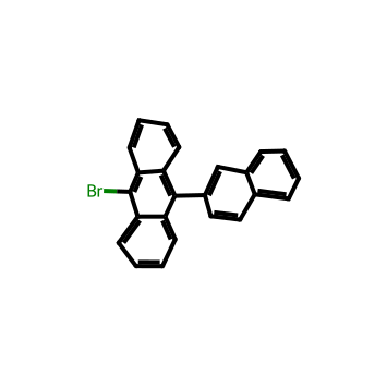 Brc1c2ccccc2c(-c2ccc3ccccc3c2)c2ccccc12